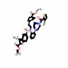 CCOC(=O)c1sc2ccc([S+]([O-])N(CCc3ccc(C(=O)OC)cc3)c3ccccc3N3CCN(C(=O)c4sccc4Br)CC3)cc2c1C